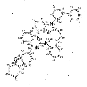 c1ccc(-c2cccc(-n3c4ccccc4c4c3ccc3c5ccccc5n(-c5nc(-c6ccc7c(c6)oc6ccccc67)c6ccccc6n5)c34)c2)cc1